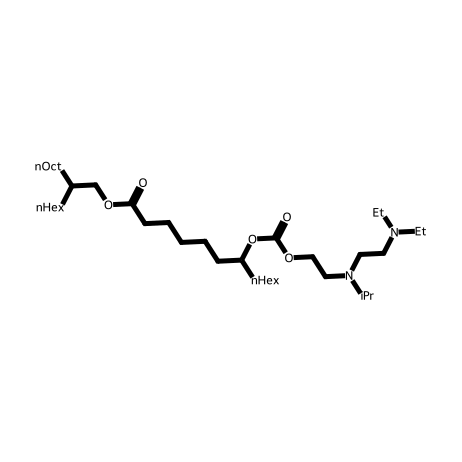 CCCCCCCCC(CCCCCC)COC(=O)CCCCCC(CCCCCC)OC(=O)OCCN(CCN(CC)CC)C(C)C